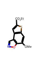 CCOC(=O)c1cc2c(cc(OC)c3oncc32)s1